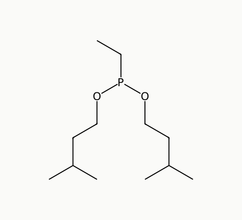 CCP(OCCC(C)C)OCCC(C)C